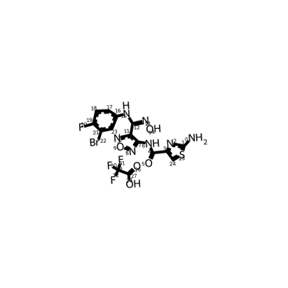 Nc1nc(C(=O)Nc2nonc2/C(=N\O)Nc2ccc(F)c(Br)c2)cs1.O=C(O)C(F)(F)F